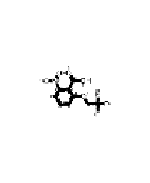 O=C(O)c1c(OCC(F)(F)F)cccc1[N+](=O)[O-]